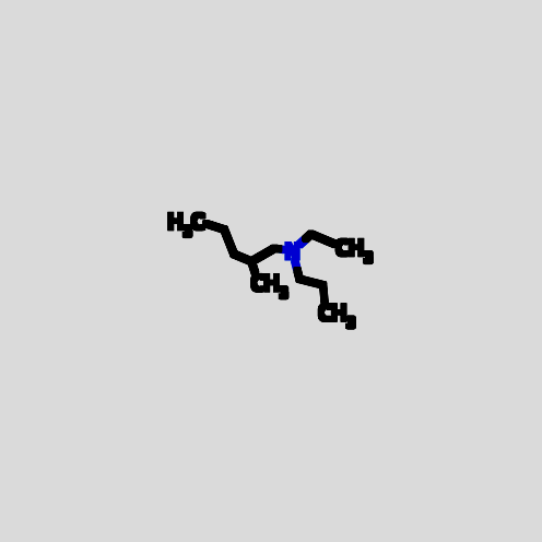 CCCC(C)CN(CC)CCC